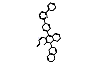 C=C/C=C\C1=C(C)C(C2C=CC3=C(C=CCC3)C2)C2CCC=CC2=C1C1=CCC(c2cccc(C3=CC=CCC3)n2)C=C1